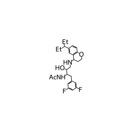 CCC(CC)c1ccc2c(c1)C(NCC(O)C(Cc1cc(F)cc(F)c1)NC(C)=O)CCO2